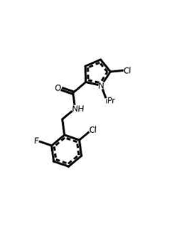 CC(C)n1c(Cl)ccc1C(=O)NCc1c(F)cccc1Cl